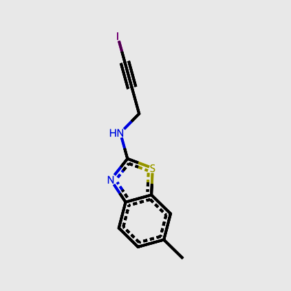 Cc1ccc2nc(NCC#CI)sc2c1